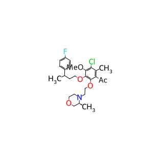 COc1c(Cl)c(C)c(C(C)=O)c(OCCN2CCOC[C@@H]2C)c1OCCC(C)c1ccc(F)cc1